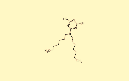 CCCCCCCN(CCCCCCC)c1nc(S)nc(S)n1